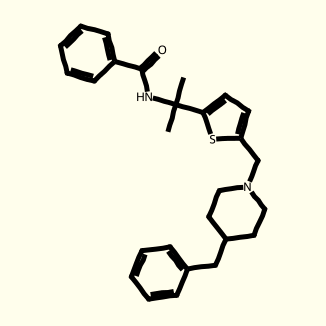 CC(C)(NC(=O)c1ccccc1)c1ccc(CN2CCC(Cc3ccccc3)CC2)s1